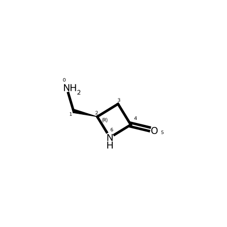 NC[C@H]1CC(=O)N1